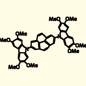 COc1cc2c3cc(OC)c(OC)cc3n(-c3cc4ccc5cc(-n6c7cc(OC)c(OC)cc7c7cc(OC)c(OC)cc76)cc6ccc(c3)c4c56)c2cc1OC